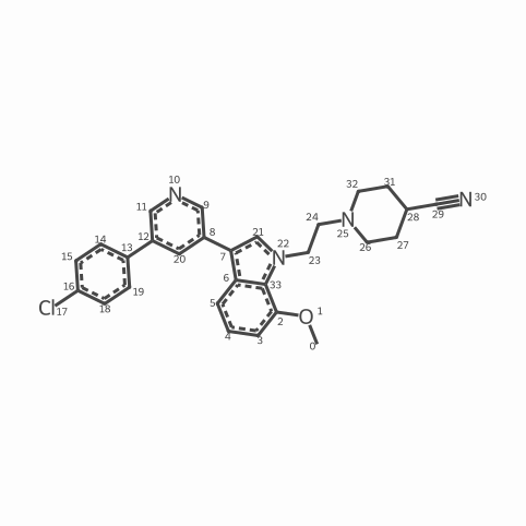 COc1cccc2c(-c3cncc(-c4ccc(Cl)cc4)c3)cn(CCN3CCC(C#N)CC3)c12